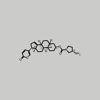 C[C@]12CC[C@H](OC(=O)N3CC[C@@H](N)C3)C[C@H]1CC[C@H]1C3=CC[C@H](c4ccc(=O)oc4)[C@@]3(C)CC[C@@H]12